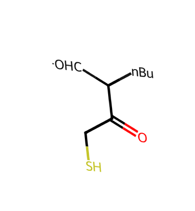 CCCCC([C]=O)C(=O)CS